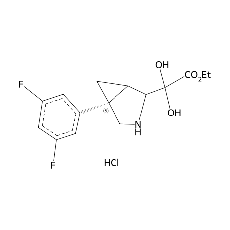 CCOC(=O)C(O)(O)C1NC[C@@]2(c3cc(F)cc(F)c3)CC12.Cl